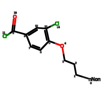 CCCCCCCCCCCCOc1ccc(C(=O)Cl)cc1Cl